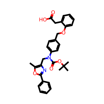 Cc1oc(-c2ccccc2)nc1CN(C(=O)OC(C)(C)C)c1ccc(COc2ccccc2CC(=O)O)cc1